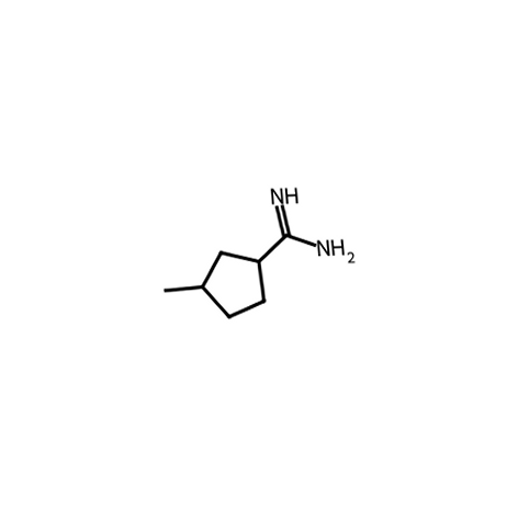 CC1CCC(C(=N)N)C1